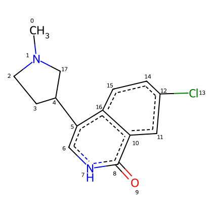 CN1CCC(c2c[nH]c(=O)c3cc(Cl)ccc23)C1